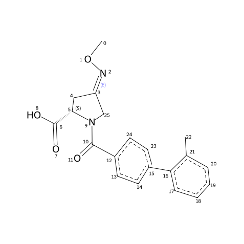 CO/N=C1\C[C@@H](C(=O)O)N(C(=O)c2ccc(-c3ccccc3C)cc2)C1